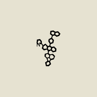 C1=CC2=C(c3c4ccccc4c(-c4ccc(-c5cccc6ccccc56)cc4)c4cc(-c5ccccn5)ccc34)C=CC3c4ccccc4C(=C1)C23